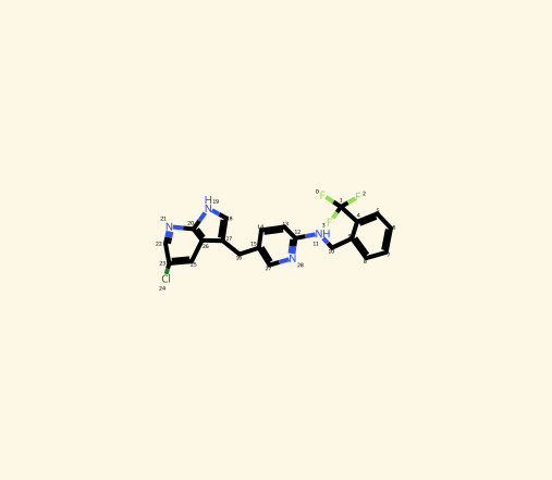 FC(F)(F)c1ccccc1CNc1ccc(Cc2c[nH]c3ncc(Cl)cc23)cn1